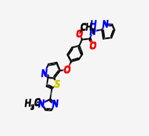 COC(C(=O)Nc1ccccn1)c1ccc(Oc2ccnc3cc(-c4nccn4C)sc23)cc1